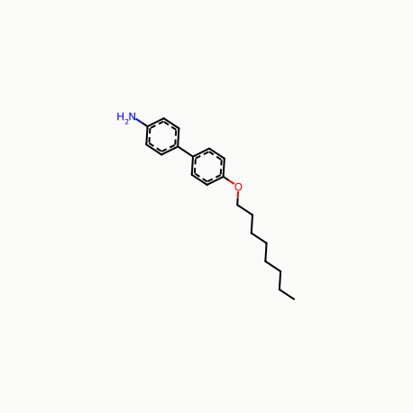 CCCCCCCCOc1ccc(-c2ccc(N)cc2)cc1